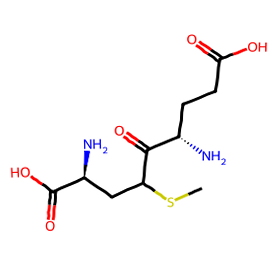 CSC(C[C@H](N)C(=O)O)C(=O)[C@@H](N)CCC(=O)O